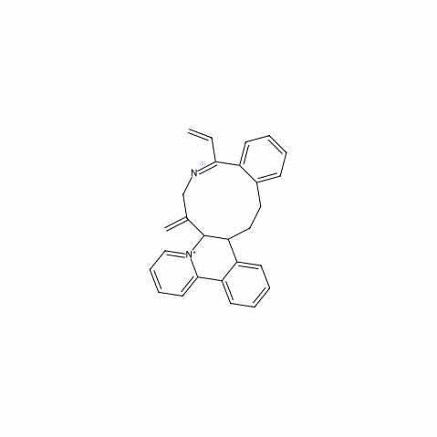 C=C/C1=N/CC(=C)C2C(CCc3ccccc31)c1ccccc1-c1cccc[n+]12